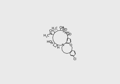 C[C@@H]1[C@@H](C)C[C@H](N(C)C)C[C@@H](O)[C@@H]2CC[C@H]2CN2CCCCc3cc(Cl)ccc3COc3ccc(cc32)C(=O)NS1(=O)=O